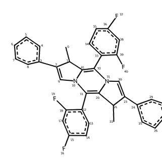 CC1C(c2ccccc2)=CN2C(c3ccc(F)cc3F)=C3C(C)C(c4ccccc4)=CN3C(c3ccc(F)cc3F)=C12